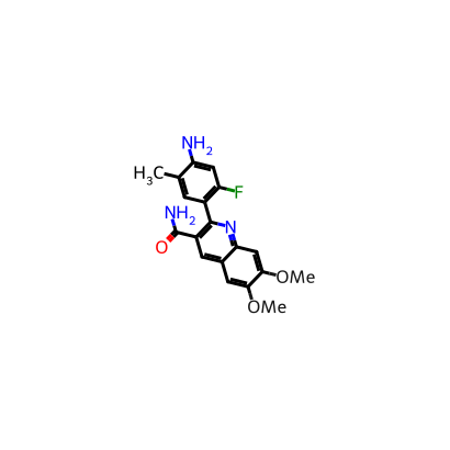 COc1cc2cc(C(N)=O)c(-c3cc(C)c(N)cc3F)nc2cc1OC